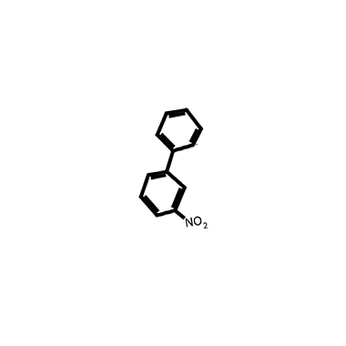 O=[N+]([O-])c1cccc(-c2[c]cccc2)c1